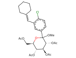 COC1(c2ccc(Cl)c(C=C3CCCCC3)c2)O[C@H](COC(C)=O)[C@@H](OC(C)=O)[C@H](OC(C)=O)[C@H]1OC(C)=O